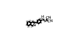 N#CC(C#N)=NNc1ccc(-c2cc3ccccc3cn2)cc1